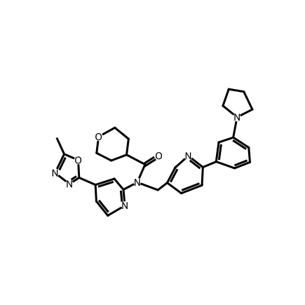 Cc1nnc(-c2ccnc(N(Cc3ccc(-c4cccc(N5CCCC5)c4)nc3)C(=O)C3CCOCC3)c2)o1